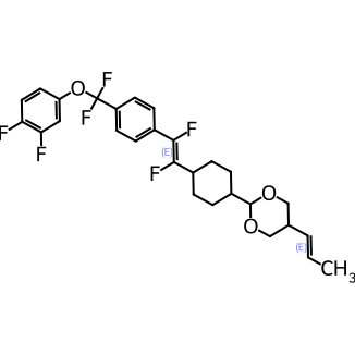 C/C=C/C1COC(C2CCC(/C(F)=C(\F)c3ccc(C(F)(F)Oc4ccc(F)c(F)c4)cc3)CC2)OC1